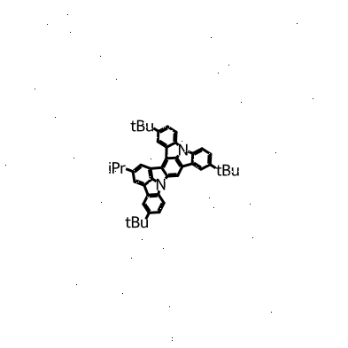 CC(C)c1cc2c3cc(C(C)(C)C)ccc3n3c4cc5c6cc(C(C)(C)C)ccc6n6c7ccc(C(C)(C)C)cc7c(c4c(c1)c23)c56